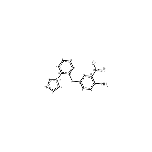 Nc1ccc(Cc2ccccc2-n2ccnc2)cc1[N+](=O)[O-]